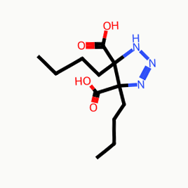 CCCCC1(C(=O)O)N=NNC1(CCCC)C(=O)O